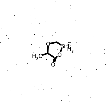 CC1OC[SiH](C)OC1=O